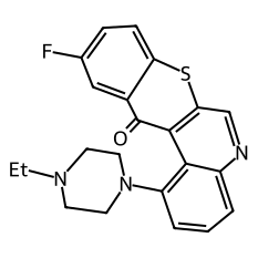 CCN1CCN(c2cccc3ncc4sc5ccc(F)cc5c(=O)c4c23)CC1